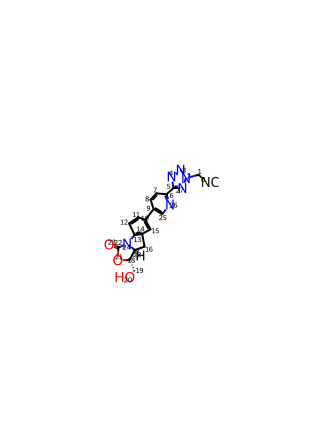 [C-]#[N+]Cn1nnc(-c2ccc(-c3ccc4c(c3)C[C@H]3[C@H](CO)OC(=O)N43)cn2)n1